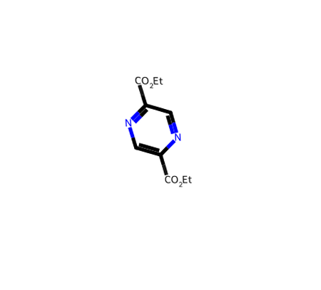 CCOC(=O)c1cnc(C(=O)OCC)cn1